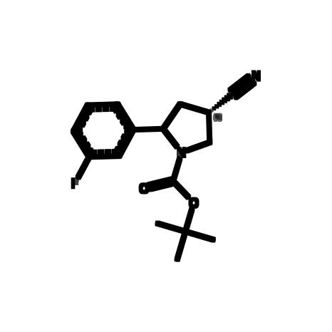 CC(C)(C)OC(=O)N1C[C@@H](C#N)CC1c1cccc(F)c1